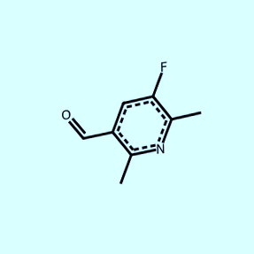 Cc1nc(C)c(C=O)cc1F